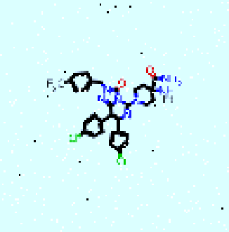 CCNC1(C(N)=O)CCN(c2nc(-c3ccc(Cl)cc3)c(-c3ccc(Cl)cc3)c3nn(Cc4ccc(C(F)(F)F)cc4)c(=O)n23)CC1